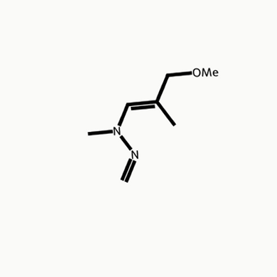 C=NN(C)/C=C(\C)COC